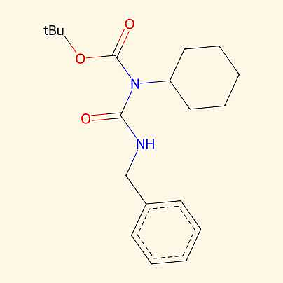 CC(C)(C)OC(=O)N(C(=O)NCc1ccccc1)C1CCCCC1